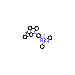 CC1(C)c2ccccc2-c2ccc3c(c21)-c1ccccc1-c1ccccc1N3c1ccc(C2=NC(c3ccccc3)NC(c3ccccc3)N2)cc1